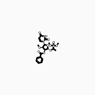 CO[C@@H]1[C@H](OC(=O)c2ccccc2)[C@@H](OC(C)P(=O)(OC)OC)O[C@H]1n1ccc(=O)[nH]c1=O